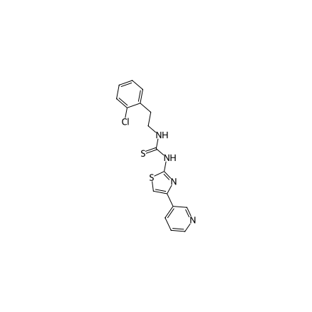 S=C(NCCc1ccccc1Cl)Nc1nc(-c2cccnc2)cs1